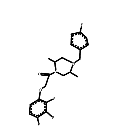 CC1CN(C(=O)COc2ccc(F)c(F)c2F)C(C)CN1Cc1ccc(F)cc1